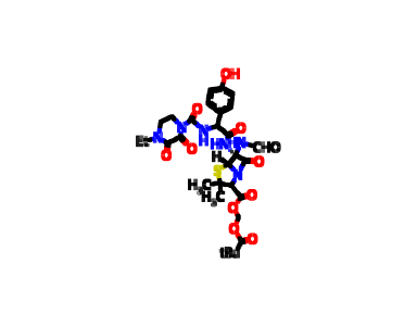 CCN1CCN(C(=O)NC(C(=O)N[C@]2(NC=O)C(=O)N3[C@@H](C(=O)OCOC(=O)C(C)(C)C)C(C)(C)S[C@@H]32)c2ccc(O)cc2)C(=O)C1=O